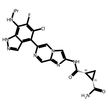 CC(C)Nc1c(F)c(Cl)c(-c2cn3cc(NC(=O)[C@@H]4C[C@@H]4C(N)=O)nc3cn2)c2cn[nH]c12